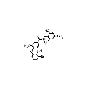 CCc1cccc(Oc2ccc(C(=O)NCc3c(C)cc(C)nc3O)cc2C)c1C#N